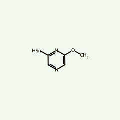 COc1cnc[c]([SnH])n1